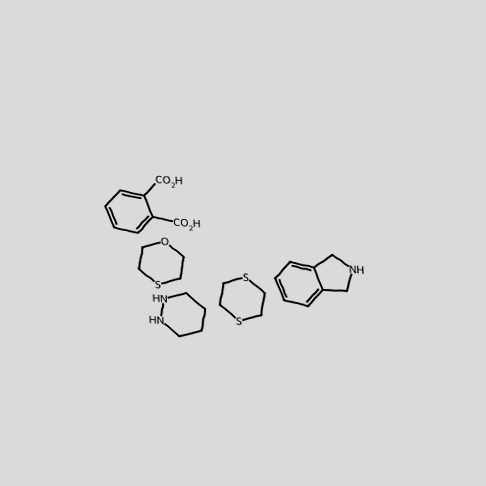 C1CCNNC1.C1CSCCO1.C1CSCCS1.O=C(O)c1ccccc1C(=O)O.c1ccc2c(c1)CNC2